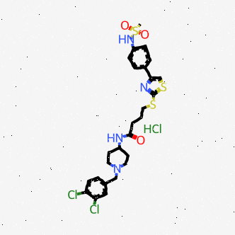 CS(=O)(=O)Nc1ccc(-c2csc(SCCCC(=O)NC3CCN(Cc4ccc(Cl)c(Cl)c4)CC3)n2)cc1.Cl